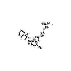 Cc1ccncc1C(F)(F)CNc1ccc(C#N)c(CC(=O)NCCONC(=N)N)c1F